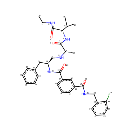 CCNC(=O)[C@@H](NC(=O)[C@H](C)NC[C@H](Cc1ccccc1)NC(=O)c1cccc(C(=O)NCc2ccccc2F)c1)C(C)C